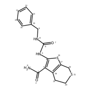 NC(=O)c1c(NC(=O)NCc2ccccc2)sc2c1CCSC2